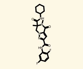 CN1C(=O)c2cc(C(=O)Nc3cc(F)ccc3F)nn2CC1(C)C(=O)NC1CCCCC1